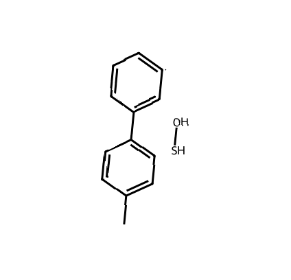 Cc1ccc(-c2c[c]ccc2)cc1.OS